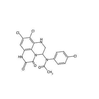 CC(=O)N(c1ccc(Cl)cc1)C1CNc2c(Cl)c(Cl)cc3[nH]c(=O)c(=O)n1c23